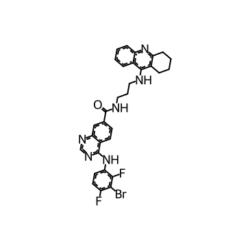 O=C(NCCCNc1c2c(nc3ccccc13)CCCC2)c1ccc2c(Nc3ccc(F)c(Br)c3F)ncnc2c1